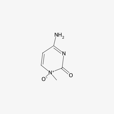 C[N+]1([O-])C=CC(N)=NC1=O